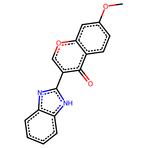 COc1ccc2c(=O)c(-c3nc4ccccc4[nH]3)coc2c1